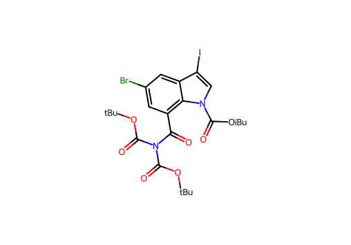 CC(C)COC(=O)n1cc(I)c2cc(Br)cc(C(=O)N(C(=O)OC(C)(C)C)C(=O)OC(C)(C)C)c21